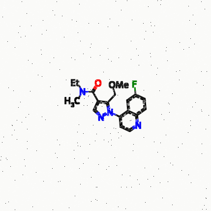 CCN(C)C(=O)c1cnn(-c2ccnc3ccc(F)cc23)c1COC